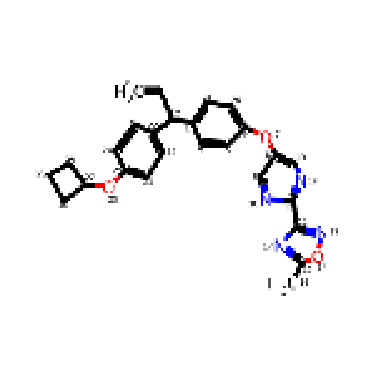 C=CC(c1ccc(Oc2cnc(-c3noc(C)n3)nc2)cc1)c1ccc(OC2CCC2)cc1